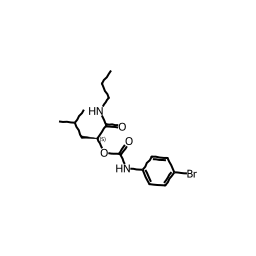 CCCNC(=O)[C@H](CC(C)C)OC(=O)Nc1ccc(Br)cc1